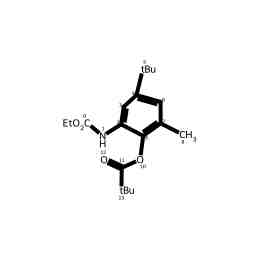 CCOC(=O)Nc1cc(C(C)(C)C)cc(C)c1OC(=O)C(C)(C)C